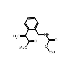 C=C(C(=O)OC)c1ccccc1CNC(=O)OC(C)(C)C